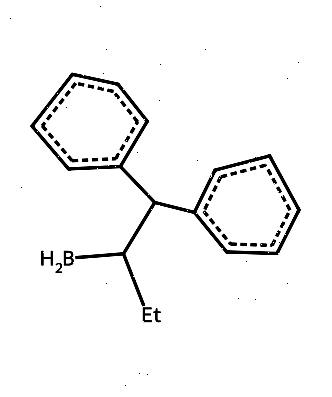 BC(CC)C(c1ccccc1)c1ccccc1